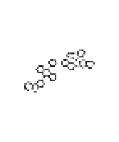 c1cc(-c2ccc3c4c(ccc3c2)-c2cc3ccccc3cc2C42c3ccccc3-c3ccccc32)cc(-c2c3ccccc3c(-c3ccc4oc5ccccc5c4c3)c3ccccc23)c1